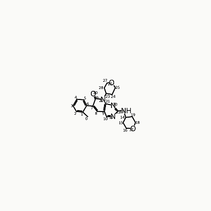 Cc1ccccc1-c1cc2cnc(NC3CCOCC3)nc2n(C2CCOCC2)c1=O